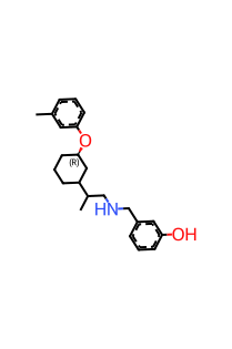 Cc1cccc(O[C@@H]2CCCC(C(C)CNCc3cccc(O)c3)C2)c1